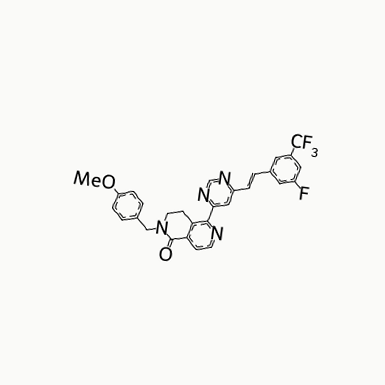 COc1ccc(CN2CCc3c(ccnc3-c3cc(/C=C/c4cc(F)cc(C(F)(F)F)c4)ncn3)C2=O)cc1